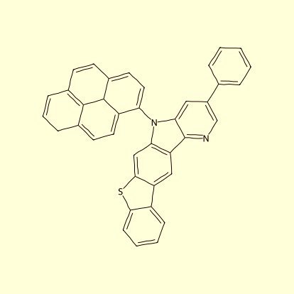 C1=CC2=C3C(=CC=C4C(n5c6cc7sc8ccccc8c7cc6c6ncc(-c7ccccc7)cc65)=CC=C(C=C2)C43)C1